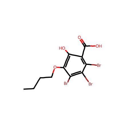 CCCCOc1c(O)c(C(=O)O)c(Br)c(Br)c1Br